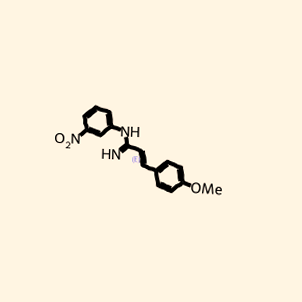 COc1ccc(/C=C/C(=N)Nc2cccc([N+](=O)[O-])c2)cc1